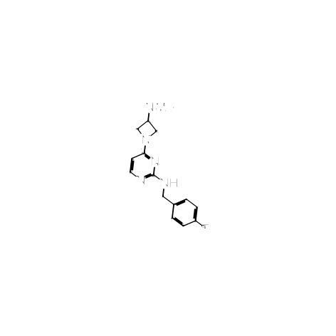 CNC1CN(c2ccnc(NCc3ccc(F)cc3)n2)C1